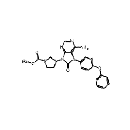 CC(C)(C)OC(=O)N1CCC(n2c(=O)n(-c3ccc(Oc4ccccc4)nc3)c3c(N)ncnc32)C1